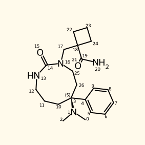 CN(C)[C@@]1(c2ccccc2)CCCNC(=O)N(CC2(C(N)=O)CCC2)CC1